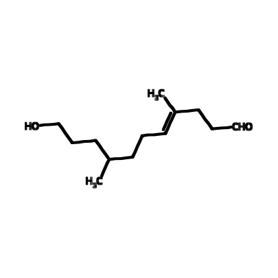 CC(=CCCC(C)CCCO)CCC=O